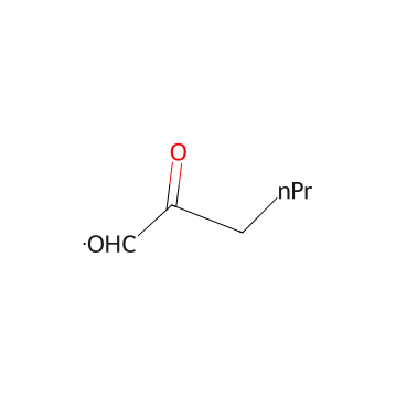 CCCCC(=O)[C]=O